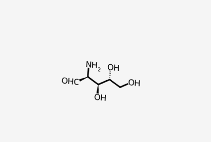 N[C@H](C=O)[C@H](O)[C@H](O)CO